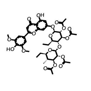 CC[C@H]1O[C@@H](O[C@H]2[C@H](OC(C)=O)[C@@H](OC(C)=O)[C@H](Oc3cc(O)c4c(=O)cc(-c5cc(OC)c(O)c(OC)c5)oc4c3)O[C@@H]2CC)[C@H](OC(C)=O)[C@@H](OC(C)=O)[C@@H]1C